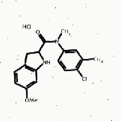 COc1ccc2c(c1)NC(C(=O)N(C)c1ccc(Cl)c(C)c1)C2.Cl